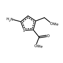 COCc1cc(N)sc1C(=O)OC